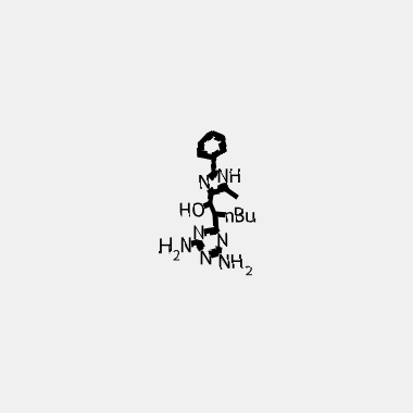 CCCCC(c1nc(N)nc(N)n1)C(O)c1nc(-c2ccccc2)[nH]c1C